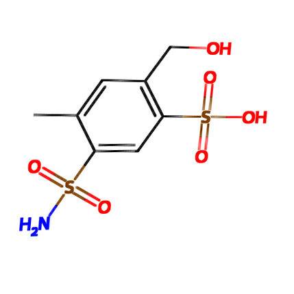 Cc1cc(CO)c(S(=O)(=O)O)cc1S(N)(=O)=O